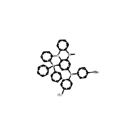 CN1c2ccccc2B2c3ccccc3[Si](c3ccccc3)(c3ccccc3)c3cc(N(c4ccc(C(C)(C)C)cc4)c4ccc(C(C)(C)C)cc4)cc1c32